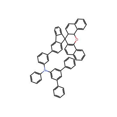 C1=CC2C(Oc3c(ccc4ccccc34)C23c2ccccc2-c2cc(-c4cccc(N(c5ccccc5)c5cc(-c6ccccc6)cc(-c6ccccc6)c5)c4)ccc23)c2ccccc21